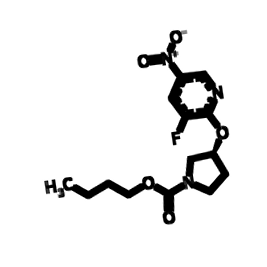 CCCCOC(=O)N1CC[C@H](Oc2ncc([N+](=O)[O-])cc2F)C1